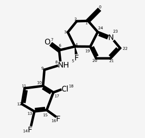 C=C1CC[C@@](F)(C(=O)NCc2ccc(F)c(F)c2Cl)c2cccnc21